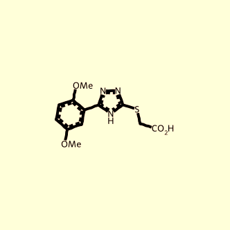 COc1ccc(OC)c(-c2nnc(SCC(=O)O)[nH]2)c1